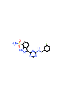 NS(=O)(=O)c1cccc2c(-c3ncnc(NCc4cccc(F)c4)n3)n[nH]c12